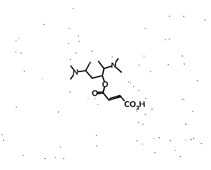 CC(CC(OC(=O)C=CC(=O)O)C(C)N(C)C)N(C)C